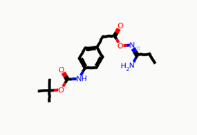 CC/C(N)=N/OC(=O)Cc1ccc(NC(=O)OC(C)(C)C)cc1